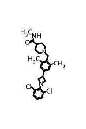 CNC(=O)C1CCN(Cc2c(C)cc(C3CN(c4c(Cl)cccc4Cl)C3)cc2C)CC1